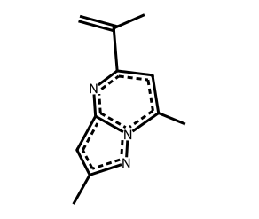 C=C(C)c1cc(C)n2nc(C)cc2n1